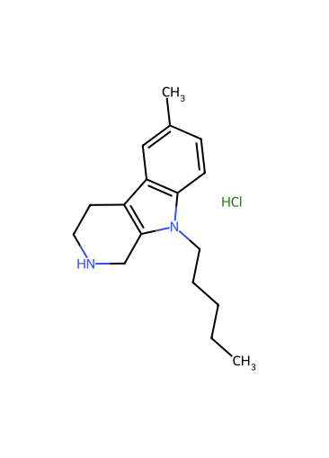 CCCCCn1c2c(c3cc(C)ccc31)CCNC2.Cl